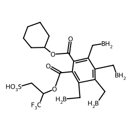 BCc1c(CB)c(CB)c(C(=O)OC(CS(=O)(=O)O)C(F)(F)F)c(C(=O)OC2CCCCC2)c1CB